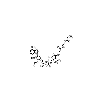 CCC(=O)SCCNC(=O)CCNC(=O)C(C)C(C)(C)COP(=O)(O)OP(=O)(O)OC[C@H]1OC(n2cnc3c(N)ccnc32)[C@H](O)C1OP=O